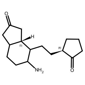 NC1CCC2CC(=O)C[C@@H]2C1CC[C@H]1CCCC1=O